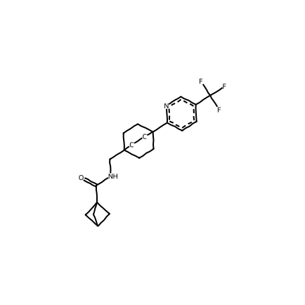 O=C(NCC12CCC(c3ccc(C(F)(F)F)cn3)(CC1)CC2)C12CC(C1)C2